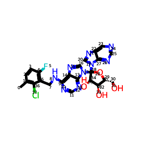 Cc1ccc(F)c(CNc2ncnc3c2ncn3C2(n3cnc4cncnc43)O[C@H](CO)[C@@H](O)[C@H]2O)c1Cl